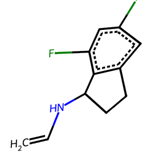 C=CNC1CCc2cc(F)cc(F)c21